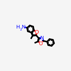 Cc1oc(-c2ccccc2)nc1-c1oc2ccc(N)cc2c1C